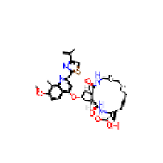 COc1ccc2c(O[C@H]3C[C@H]4C(=O)NCCCCC/C=C\C5C[C@@]5(C(=O)O)NC(=O)[C@@H]4C3)cc(-c3nc(C(C)C)cs3)nc2c1C